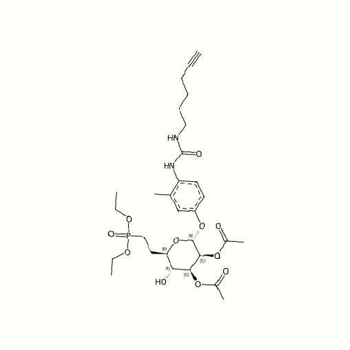 C#CCCCCNC(=O)Nc1ccc(O[C@H]2O[C@H](CCP(=O)(OCC)OCC)[C@@H](O)[C@H](OC(C)=O)[C@@H]2OC(C)=O)cc1C